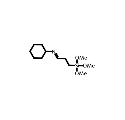 CO[Si](CCC=NC1CCCCC1)(OC)OC